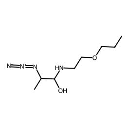 CCCOCCNC(O)C(C)N=[N+]=[N-]